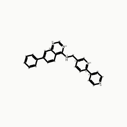 c1ccc(-c2ccc3c(NCc4ccc(-c5ccncc5)nc4)ncnc3c2)cc1